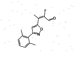 C/C(=C(\F)C=O)c1cc(-c2c(C)cccc2C)no1